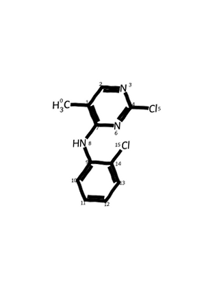 Cc1cnc(Cl)nc1Nc1ccccc1Cl